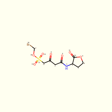 O=C(CC(=O)NC1CCOC1=O)CS(=O)(=O)OCBr